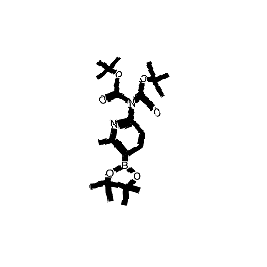 Cc1nc(N(C(=O)OC(C)(C)C)C(=O)OC(C)(C)C)ccc1B1OC(C)(C)C(C)(C)O1